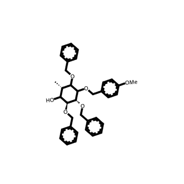 COc1ccc(COC2C(OCc3ccccc3)[C@@H](C)C(O)[C@H](OCc3ccccc3)[C@H]2OCc2ccccc2)cc1